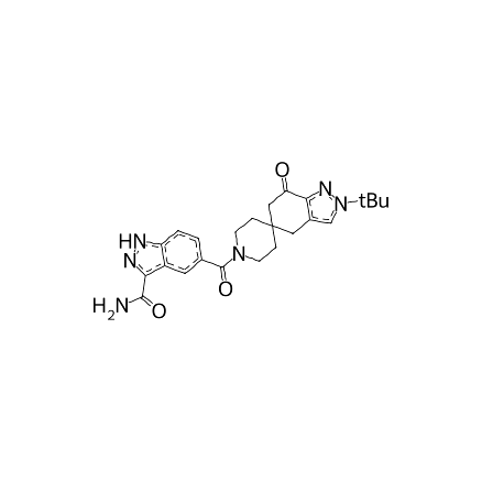 CC(C)(C)n1cc2c(n1)C(=O)CC1(CCN(C(=O)c3ccc4[nH]nc(C(N)=O)c4c3)CC1)C2